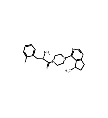 C[C@@H]1CCc2ncnc(N3CCN(C(=O)[C@H](N)Cc4ccccc4F)CC3)c21